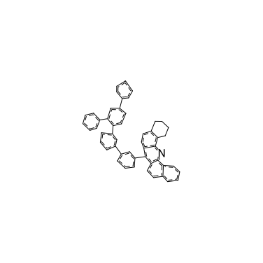 c1ccc(-c2ccc(-c3cccc(-c4cccc(-c5c6ccc7c(c6nc6c5ccc5ccccc56)CCCC7)c4)c3)c(-c3ccccc3)c2)cc1